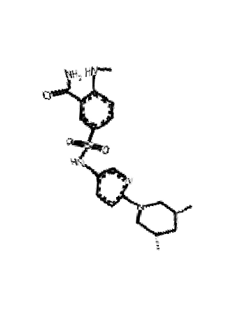 CNc1ccc(S(=O)(=O)Nc2ccc(N3C[C@@H](C)C[C@H](C)C3)nc2)cc1C(N)=O